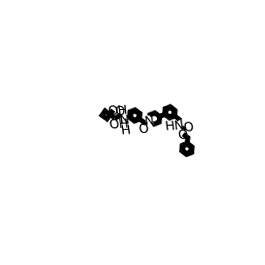 O=C(NCc1cccc(C2CCN(C(=O)c3cccc(NC(=O)C(O)C4(O)CCC4)c3)CC2)c1)OCc1ccccc1